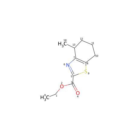 CCOC(=O)c1nc2c(s1)CCCC2C